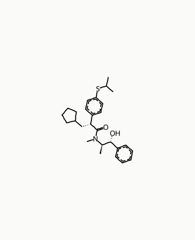 CC(C)Sc1ccc([C@@H](CC2CCCC2)C(=O)N(C)[C@H](C)[C@H](O)c2ccccc2)cc1